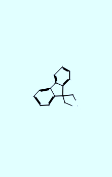 FC(F)(F)CC1(CC(F)(F)F)c2ccccc2-c2ccccc21